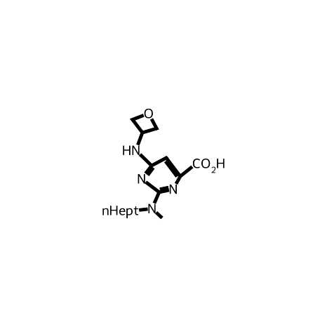 CCCCCCCN(C)c1nc(NC2COC2)cc(C(=O)O)n1